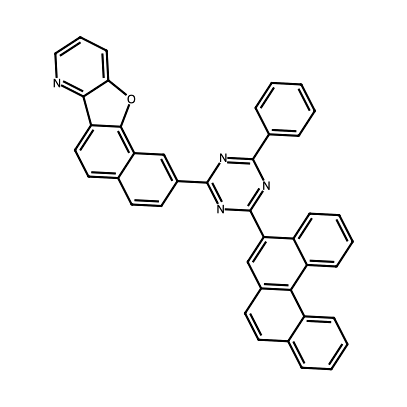 c1ccc(-c2nc(-c3ccc4ccc5c6ncccc6oc5c4c3)nc(-c3cc4ccc5ccccc5c4c4ccccc34)n2)cc1